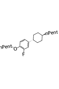 CCCCCOc1ccc([C@H]2CC[C@H](CCCCC)CC2)cc1F